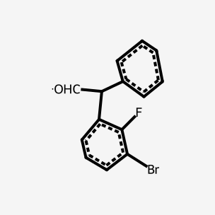 O=[C]C(c1ccccc1)c1cccc(Br)c1F